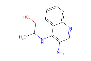 CC(CO)Nc1c(N)cnc2ccccc12